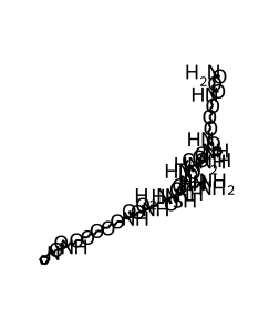 N=C(N)NCCC[C@H](NC(=O)C(S)NC(=O)[C@@H](N)CCCCNC(=O)COCC(=O)NCCOCCOCCOCCOCCOCCNC(=O)CO/N=C/c1ccccc1)C(=O)NCC(=O)N[C@@H](CC(=O)O)C(=O)NCC(=O)N[C@@H](Cc1ccccc1)C(=O)NCC(=O)NCCOCCOCCOCCNC(=O)COCC(N)=O